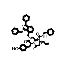 C=CCN1CC(=O)N2C(Cc3ccc(O)cc3)C(=O)N(Cc3cccc4c(-c5ccccc5)nn(Cc5ccccc5)c34)CC2N1C(=O)NCc1ccccc1